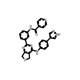 O=C(Nc1cccc(-c2nc3c(c(Nc4ccc(-c5cn[nH]c5)cc4)n2)COC3)c1)c1ccncc1